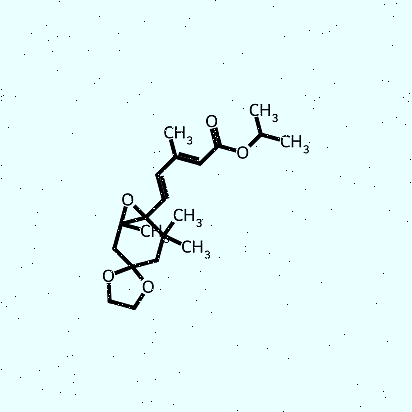 CC(C=CC12OC1(C)CC1(CC2(C)C)OCCO1)=CC(=O)OC(C)C